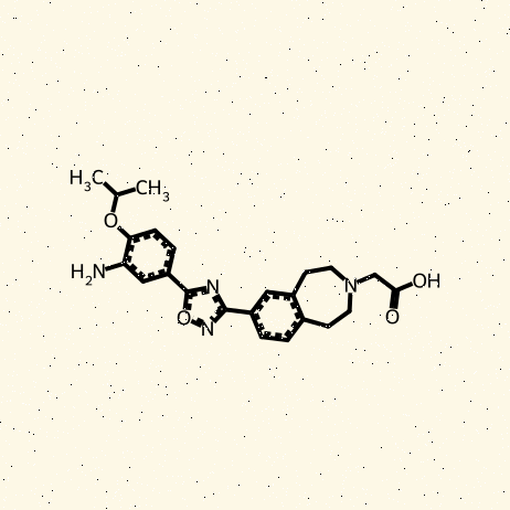 CC(C)Oc1ccc(-c2nc(-c3ccc4c(c3)CCN(CC(=O)O)CC4)no2)cc1N